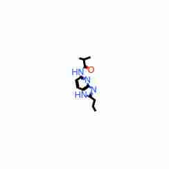 CCCc1nc2nc(NC(=O)C(C)C)ccc2[nH]1